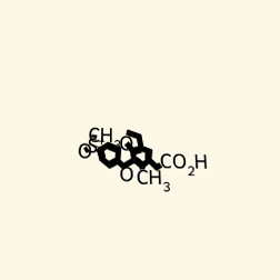 Cc1c(CC(=O)O)cc2c(c1C(=O)c1ccc([S+](C)[O-])cc1)OCC2